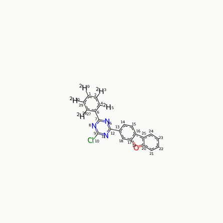 [2H]c1c([2H])c([2H])c(-c2nc(Cl)nc(-c3ccc4c(c3)oc3ccccc34)n2)c([2H])c1[2H]